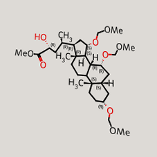 COCO[C@@H]1CC[C@]2(C)C3CC[C@@]4(C)[C@H]([C@@H]3[C@H](OCOC)C[C@@H]2C1)[C@@H](OCOC)C[C@@H]4[C@H](C)C[C@@H](O)C(=O)OC